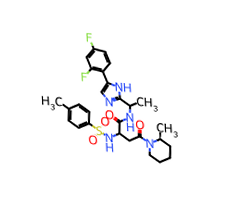 Cc1ccc(S(=O)(=O)NC(CC(=O)N2CCCC[C@@H]2C)C(=O)NC(C)c2ncc(-c3ccc(F)cc3F)[nH]2)cc1